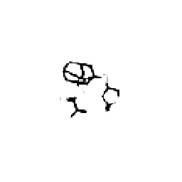 C=C(C)C(=O)OC12CC3CC(C1)CC(OC1COC(=O)C1)(C3)C2